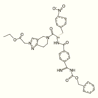 CCOC(=O)Cn1cc2c(n1)CCN(C(=O)[C@H](Cc1ccc([N+](=O)[O-])cc1)NC(=O)c1ccc(C(=N)NC(=O)OCc3ccccc3)cc1)C2